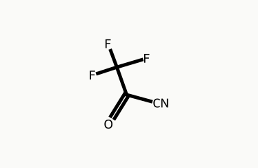 N#CC(=O)C(F)(F)F